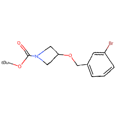 CC(C)(C)OC(=O)N1CC(OCc2cccc(Br)c2)C1